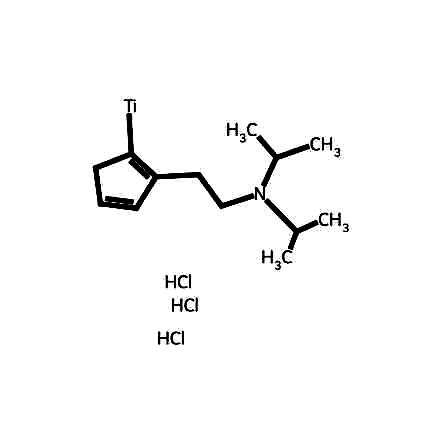 CC(C)N(CCC1=[C]([Ti])CC=C1)C(C)C.Cl.Cl.Cl